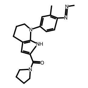 C/N=N/c1ccc(N2CCCc3cc(C(=O)N4CCCC4)[nH]c32)cc1C